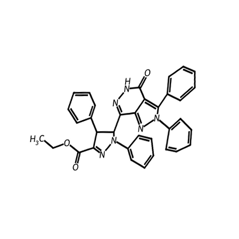 CCOC(=O)C1=NN(c2ccccc2)C(c2n[nH]c(=O)c3c(-c4ccccc4)n(-c4ccccc4)nc23)C1c1ccccc1